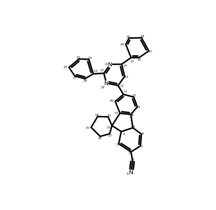 N#CC1=CC2C(C=C1)c1ccc(-c3cc(-c4ccccc4)nc(-c4ccccc4)n3)cc1C21CCCCC1